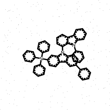 c1ccc(-c2ccc3c(c2)c2ccc([Si](c4ccccc4)(c4ccccc4)c4ccccc4)cc2n3-c2cccc3c4ccccc4n(-c4ccccc4)c23)cc1